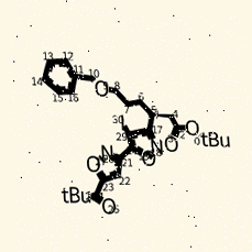 CC(C)(C)OC(=O)C[C@H](CCCOCc1ccccc1)c1noc(-c2cc(C(=O)C(C)(C)C)on2)c1I